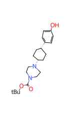 CC(C)(C)OC(=O)N1CCN([C@H]2CC[C@@H](c3ccc(O)cc3)CC2)CC1